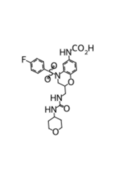 O=C(O)Nc1ccc2c(c1)N(S(=O)(=O)c1ccc(F)cc1)CC(CNC(=O)NC1CCOCC1)O2